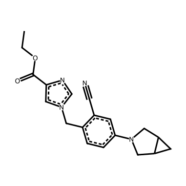 CCOC(=O)c1cn(Cc2ccc(N3CC4CC4C3)cc2C#N)cn1